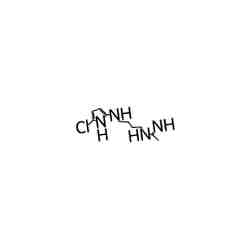 CC(=N)NCCCCNc1ccc(Cl)[nH]1